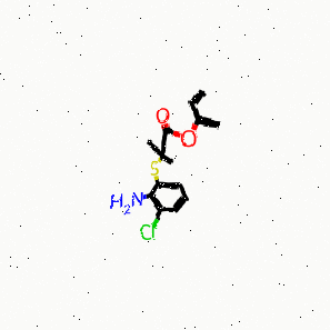 C=CC(=C)OC(=O)C(C)(C)Sc1cccc(Cl)c1N